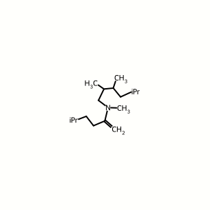 C=C(CCC(C)C)N(C)CC(C)C(C)CC(C)C